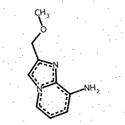 COCc1cn2cccc(N)c2n1